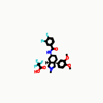 COc1ccc([C@@]23CC[C@@H](NC(=O)c4ccc(F)c(F)c4)C[C@@H]2CN(C)C3)cc1OC.O=C(O)C(F)(F)F